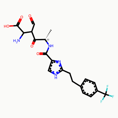 C[C@H](NC(=O)c1c[nH]c(CCc2ccc(C(F)(F)F)cc2)n1)C(=O)C(C=O)C(N)C(=O)O